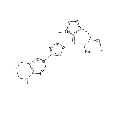 NC/C(=C\F)Cn1ncn(Cc2ccc(-c3cnc4c(c3)CCCN4)s2)c1=O